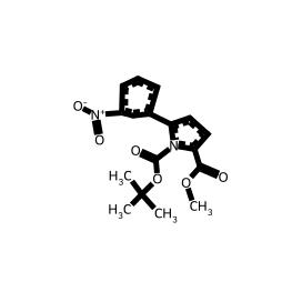 COC(=O)c1ccc(-c2cccc([N+](=O)[O-])c2)n1C(=O)OC(C)(C)C